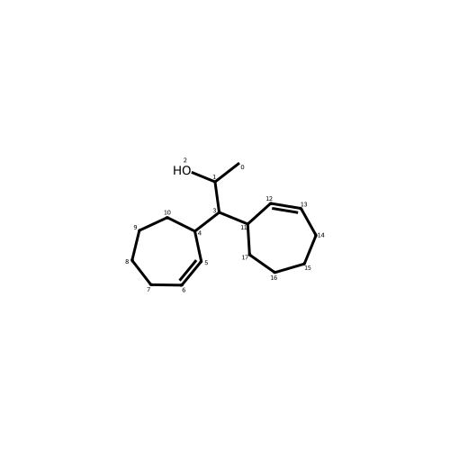 CC(O)C(C1C=CCCCC1)C1C=CCCCC1